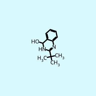 CC(C)(C)C1=Nc2ccccc2C(O)N1